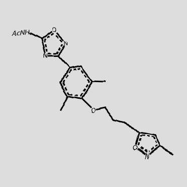 CC(=O)Nc1nc(-c2cc(C)c(OCCCc3cc(C)no3)c(C)c2)no1